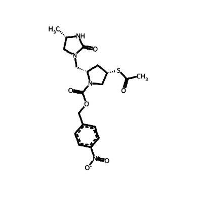 CC(=O)S[C@H]1C[C@@H](CN2C[C@H](C)NC2=O)N(C(=O)OCc2ccc([N+](=O)[O-])cc2)C1